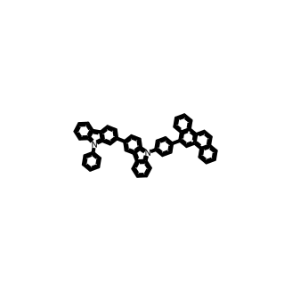 c1ccc(-n2c3ccccc3c3ccc(-c4ccc5c(c4)c4ccccc4n5-c4ccc(-c5cc6c7ccccc7ccc6c6ccccc56)cc4)cc32)cc1